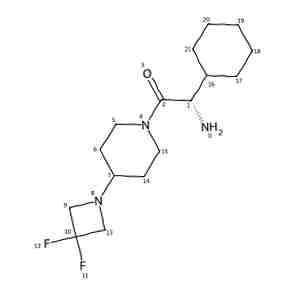 N[C@H](C(=O)N1CCC(N2CC(F)(F)C2)CC1)C1CCCCC1